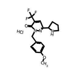 COc1ccc(Cn2nc(C3CCCN3)cc(C(F)(F)F)c2=O)cc1.Cl